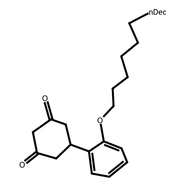 CCCCCCCCCCCCCCCCOc1ccccc1C1CC(=O)CC(=O)C1